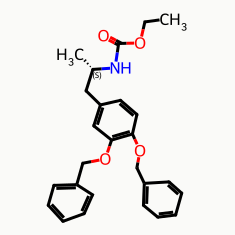 CCOC(=O)N[C@@H](C)Cc1ccc(OCc2ccccc2)c(OCc2ccccc2)c1